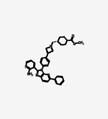 COC(=O)[C@H]1CC[C@H](CN2CC(c3ccc(-n4c(-c5cccnc5N)nc5ccc(-c6ccccc6)nc54)cc3)C2)CC1